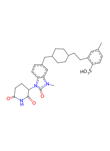 Cc1ccc(S(=O)(=O)O)c(CCC2CCC(Cc3ccc4c(c3)n(C)c(=O)n4C3CCC(=O)NC3=O)CC2)c1